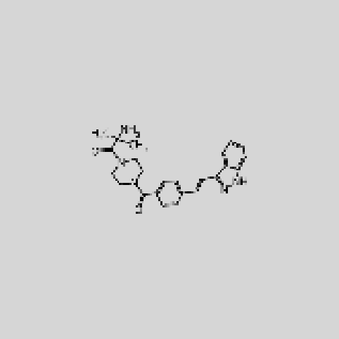 CC(C)(N)C(=O)N1CCN(C(=O)c2ccc(C=Cc3n[nH]c4ccccc34)cc2)CC1